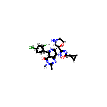 Cc1nc2cc([C@]3(c4noc(C5CC5)n4)CNCCO3)nc(-c3ccc(Cl)cc3F)c2c(=O)n1C